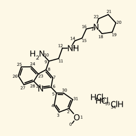 COc1ccc(-c2cc(C(N)CCNCCCN3CCCCC3)c3ccccc3n2)cc1.Cl.Cl.Cl